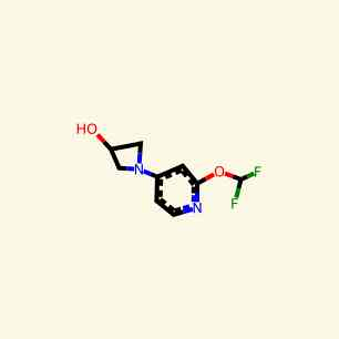 OC1CN(c2ccnc(OC(F)F)c2)C1